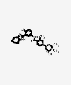 Cc1cc(N2C[C@@H](C)N(C)[C@@H](C)C2)ccc1C(=O)Nc1ccc(Cl)c(-c2nc3ccccc3[nH]2)c1